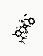 CC[C@@H](Nc1c(Nc2cc(C)cc(C(=O)N(C)C)c2O)c(=O)c1=O)c1ccccc1